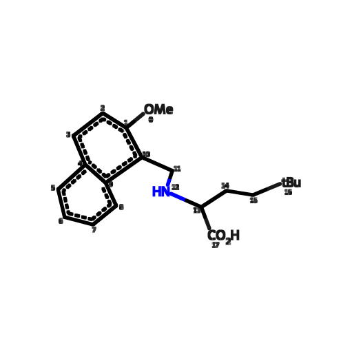 COc1ccc2ccccc2c1CNC(CCC(C)(C)C)C(=O)O